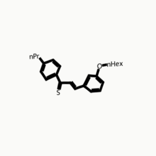 CCCCCCOc1cccc(C=CC(=S)c2ccc(CCC)cc2)c1